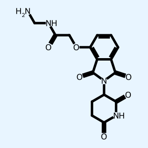 NCNC(=O)COc1cccc2c1C(=O)N(C1CCC(=O)NC1=O)C2=O